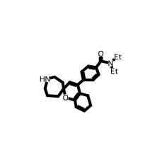 CCN(CC)C(=O)c1ccc(C2=CC3(CCCNCC3)OC3=C2CCC=C3)cc1